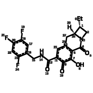 CC[C@@H]1CN2C(=O)c3c(O)c(=O)c(C(=O)NCc4cc(F)c(F)cc4F)cn3C[C@@H]12